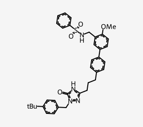 COc1ccc(-c2ccc(CCCc3nn(Cc4ccc(C(C)(C)C)cc4)c(=O)[nH]3)cc2)cc1CNS(=O)(=O)c1ccccc1